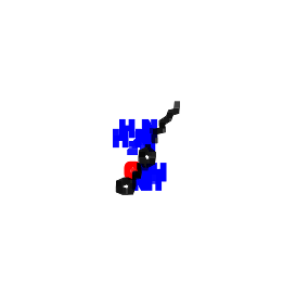 CCCCCC/C(N)=C/N(N)c1ccc(NC(=O)Nc2ccccc2)cc1